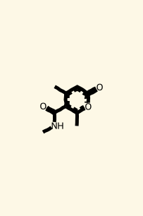 CNC(=O)c1c(C)cc(=O)oc1C